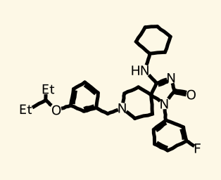 CCC(CC)Oc1cccc(CN2CCC3(CC2)C(NC2CCCCC2)=NC(=O)N3c2cccc(F)c2)c1